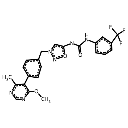 COc1ncnc(C)c1-c1ccc(C[n+]2cc([N-]C(=O)Nc3cccc(C(F)(F)F)c3)on2)cc1